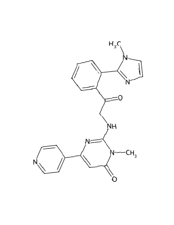 Cn1ccnc1-c1ccccc1C(=O)CNc1nc(-c2ccncc2)cc(=O)n1C